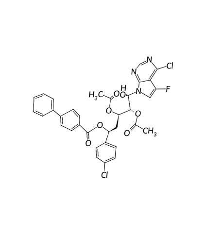 CC(=O)O[C@@H]([C@@H](O)n1cc(F)c2c(Cl)ncnc21)[C@@H](C[C@H](OC(=O)c1ccc(-c2ccccc2)cc1)c1ccc(Cl)cc1)OC(C)=O